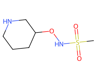 CS(=O)(=O)NOC1CCCNC1